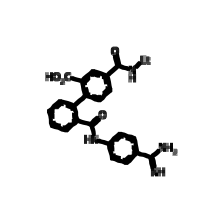 CCNC(=O)c1ccc(-c2ccccc2C(=O)Nc2ccc(C(=N)N)cc2)c(C(=O)O)c1